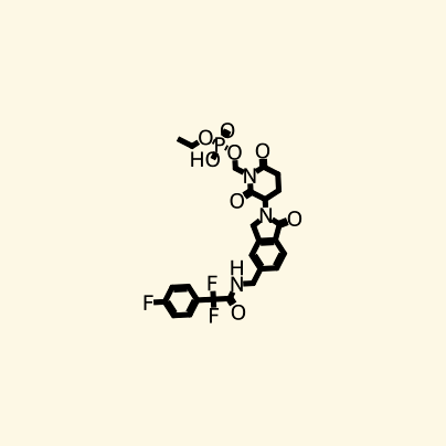 CCOP(=O)(O)OCN1C(=O)CCC(N2Cc3cc(CNC(=O)C(F)(F)c4ccc(F)cc4)ccc3C2=O)C1=O